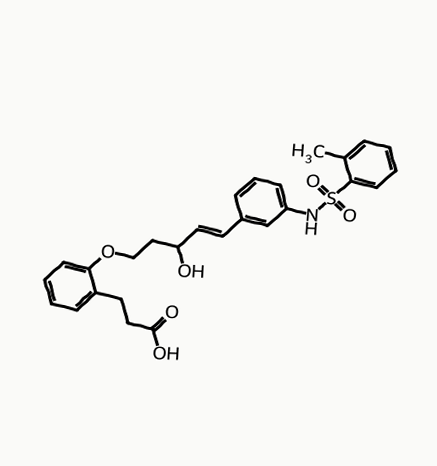 Cc1ccccc1S(=O)(=O)Nc1cccc(/C=C/C(O)CCOc2ccccc2CCC(=O)O)c1